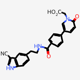 N#Cc1c[nH]c2ccc(CCNC(=O)c3ccc(-c4ccc(=O)n(CC(=O)O)c4)cc3)cc12